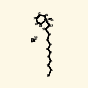 CCCCCCCCCCCC[N+]1(C)C=CC=CC1.[Br-]